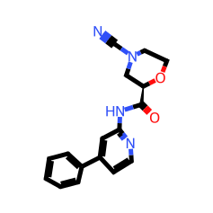 N#CN1CCO[C@@H](C(=O)Nc2cc(-c3ccccc3)ccn2)C1